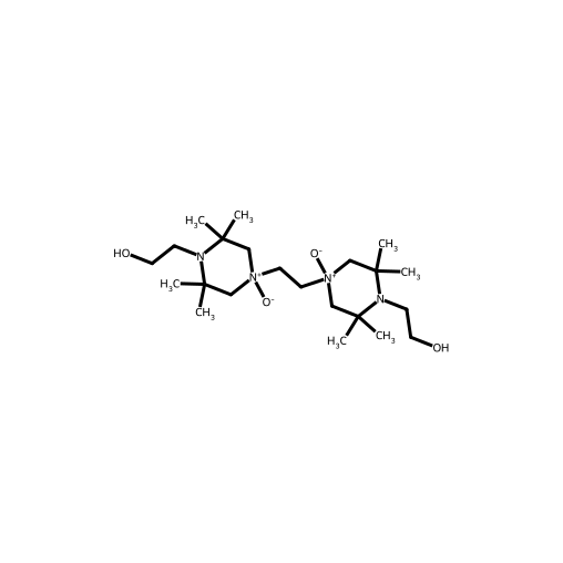 CC1(C)C[N+]([O-])(CC[N+]2([O-])CC(C)(C)N(CCO)C(C)(C)C2)CC(C)(C)N1CCO